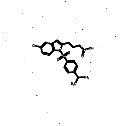 CC(C)c1ccc(S(=O)(=O)n2c(CCCC(=O)O)cc3cc(Cl)ccc32)cc1